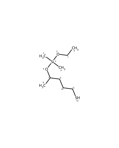 CCO[Si](C)(C)OC(C)CCCS